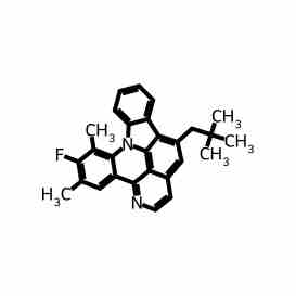 Cc1cc2c3nccc4cc(CC(C)(C)C)c5c6ccccc6n(c2c(C)c1F)c5c43